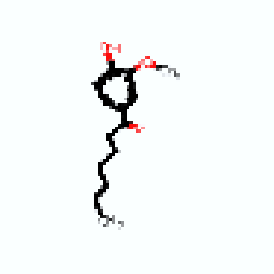 CCCCCCC(=O)c1ccc(O)c(OC)c1